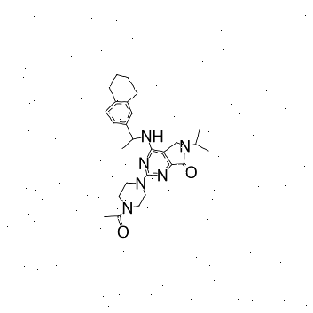 CC(=O)N1CCN(c2nc(NC(C)c3ccc4c(c3)CCCC4)c3c(n2)C(=O)N(C(C)C)C3)CC1